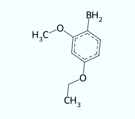 Bc1ccc(OCC)cc1OC